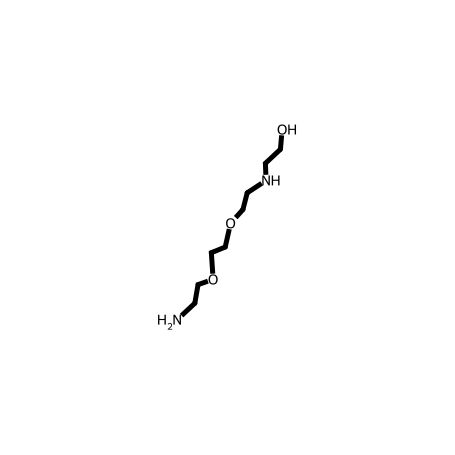 NCCOCCOCCNCCO